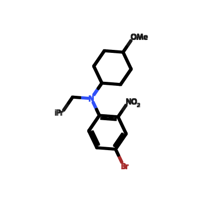 COC1CCC(N(CC(C)C)c2ccc(Br)cc2[N+](=O)[O-])CC1